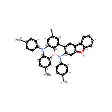 CCCCc1ccc(N2B3c4cc(CCCC)ccc4N(c4ccc(CCCC)cc4)c4cc(C)cc(c43)-c3cc4c(cc32)oc2ccccc24)cc1